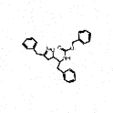 O=C(NC(Cc1ccccc1)C1CC(Cc2ccccc2)=NO1)OCc1ccccc1